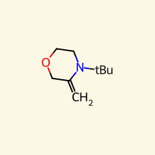 C=C1COCCN1C(C)(C)C